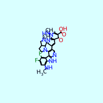 CNc1cc(F)c(F)c2c1[nH]c1ncc(-c3cnc4c(c3)c(=O)c(C(=O)O)cn4NC)c(N3CCC4CN(C)CC43)c12